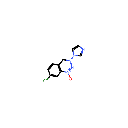 [O-][N+]1=NN(n2ccnc2)Cc2ccc(Cl)cc21